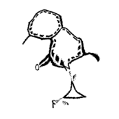 Cc1cccc2cc(C)n([C@@H]3C[C@@H]3F)c(=O)c12